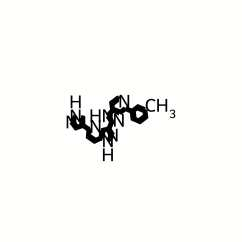 Cc1cccc(-c2nccc3[nH]c(-c4n[nH]c5ccc(-c6cn[nH]c6)nc45)nc23)c1